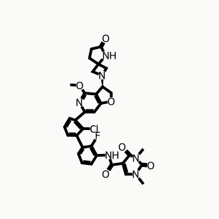 COc1nc(-c2cccc(-c3cccc(NC(=O)c4cn(C)c(=O)n(C)c4=O)c3F)c2Cl)cc2c1[C@@H](N1CC3(CCC(=O)N3)C1)CO2